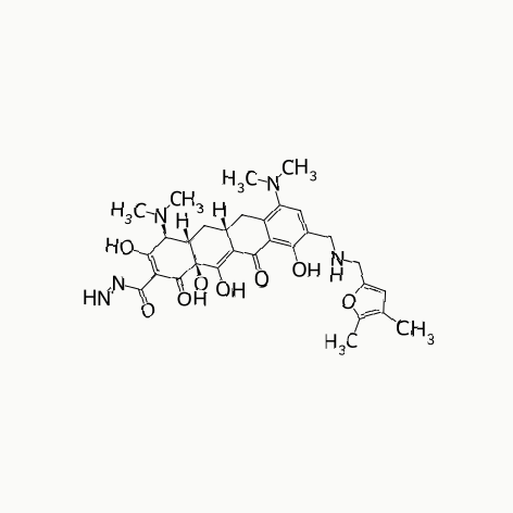 Cc1cc(CNCc2cc(N(C)C)c3c(c2O)C(=O)C2=C(O)[C@]4(O)C(=O)C(C(=O)N=N)=C(O)[C@@H](N(C)C)[C@@H]4C[C@@H]2C3)oc1C